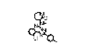 O=C1NCCCC[C@H]1Nc1nc2cccc(Cl)c2c2nc(-c3ccc(F)cc3)nn12